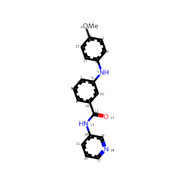 COc1ccc(Nc2cccc(C(=O)Nc3cccnc3)c2)cc1